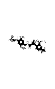 Cc1cc([C@@H](C)NC(=O)C2CC2c2ccc(C(F)(F)F)nc2N(C)C)c(F)cc1NC[SH](=O)=O